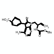 C=CC(Cn1c(Br)c(-c2ccc(C(=O)O)cc2)c2c(N)ncnc21)NC(=O)OC(C)(C)C